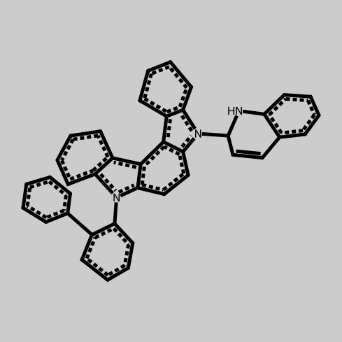 C1=CC(n2c3ccccc3c3c4c5ccccc5n(-c5ccccc5-c5ccccc5)c4ccc32)Nc2ccccc21